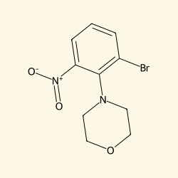 O=[N+]([O-])c1cccc(Br)c1N1CCOCC1